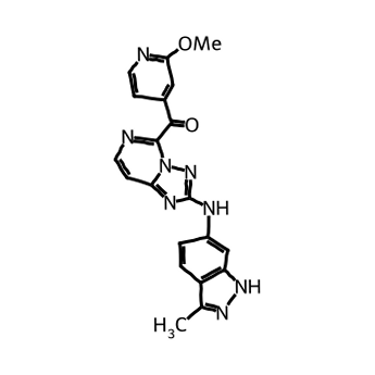 COc1cc(C(=O)c2nccc3nc(Nc4ccc5c(C)n[nH]c5c4)nn23)ccn1